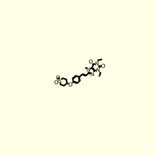 CCn1c(=O)c2c(nc(/C=C/c3ccc(OC4CCS(=O)(=O)CC4)cc3)n2C)n(CC)c1=O